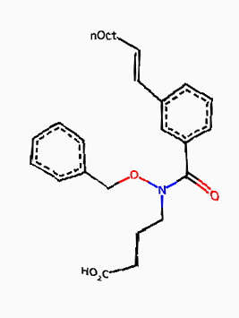 CCCCCCCCC=Cc1cccc(C(=O)N(CCCC(=O)O)OCc2ccccc2)c1